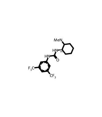 CNC1CCCC[C@H]1NC(=O)Nc1cc(C(F)(F)F)cc(C(F)(F)F)c1